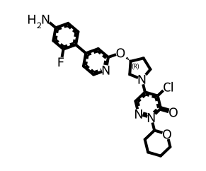 Nc1ccc(-c2ccnc(O[C@@H]3CCN(c4cnn(C5CCCCO5)c(=O)c4Cl)C3)c2)c(F)c1